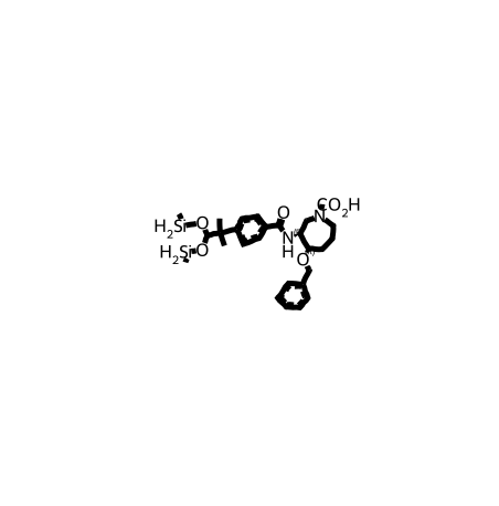 C[SiH2]OC(O[SiH2]C)C(C)(C)c1ccc(C(=O)N[C@@H]2CN(C(=O)O)CCC[C@H]2OCc2ccccc2)cc1